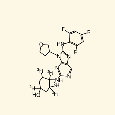 [2H]C1CC([2H])(O)CC([2H])([2H])C1([2H])Nc1ncc2nc(Nc3c(F)cc(F)cc3F)n(C3CCOC3)c2n1